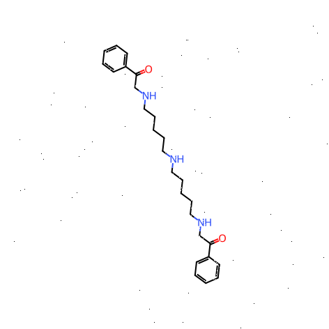 O=C(CNCCCCCNCCCCCNCC(=O)c1ccccc1)c1ccccc1